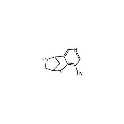 N#Cc1cncc2c1OC1CNC2C1